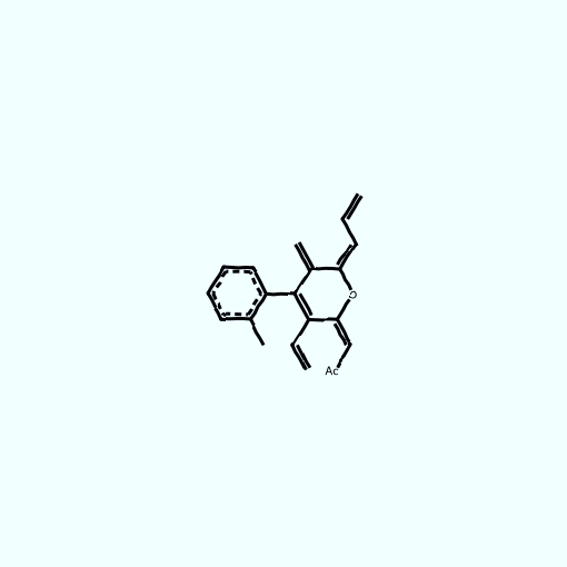 C=C/C=C1/O/C(=C/C(C)=O)C(C=C)=C(c2ccccc2C)C1=C